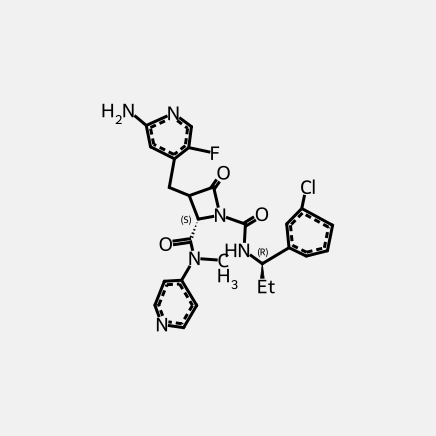 CC[C@@H](NC(=O)N1C(=O)C(Cc2cc(N)ncc2F)[C@H]1C(=O)N(C)c1ccncc1)c1cccc(Cl)c1